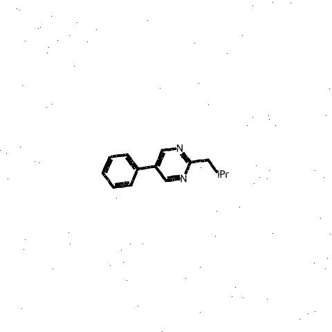 CC(C)Cc1ncc(-c2ccccc2)cn1